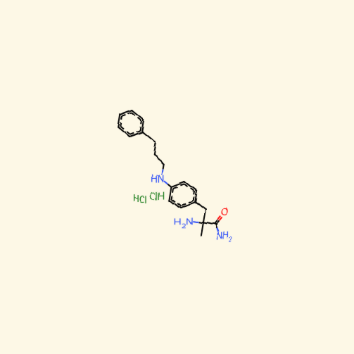 CC(N)(Cc1ccc(NCCCc2ccccc2)cc1)C(N)=O.Cl.Cl